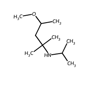 COC(C)CC(C)(C)NC(C)C